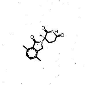 Cc1ccc(C)c2c1CN([C@@]1(C)CCC(=O)NC1=O)C2=O